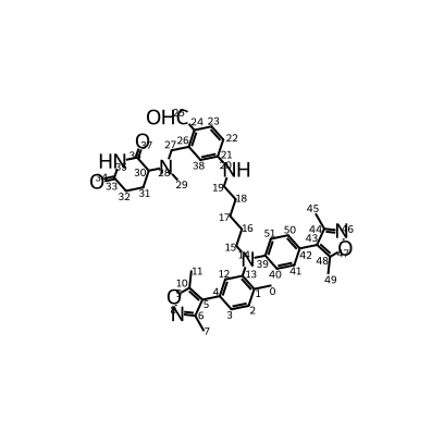 Cc1ccc(-c2c(C)noc2C)cc1N(CCCCCNc1ccc(C=O)c(CN(C)C2CCC(=O)NC2=O)c1)c1ccc(-c2c(C)noc2C)cc1